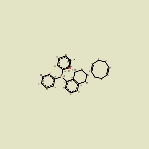 C1=C\CC/C=C\CC/1.[Rh][NH][C@@H]1CCCc2cccc(P(c3ccccc3)c3ccccc3)c21